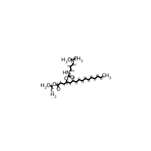 [CH2]C([CH2])OC(=O)CCC(CCCCCCCCCCCC)OC(=O)NCCCN(C)C